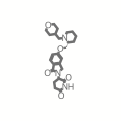 O=C1CCC(N2Cc3cc(OC[C@H]4CCCCN4CC4CCOCC4)ccc3C2=O)C(=O)N1